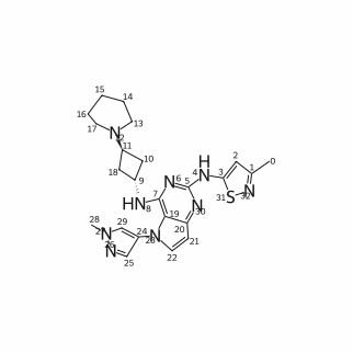 Cc1cc(Nc2nc(N[C@H]3C[C@H](N4CCCCC4)C3)c3c(ccn3-c3cnn(C)c3)n2)sn1